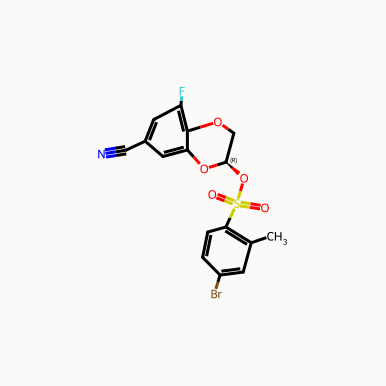 Cc1cc(Br)ccc1S(=O)(=O)O[C@@H]1COc2c(F)cc(C#N)cc2O1